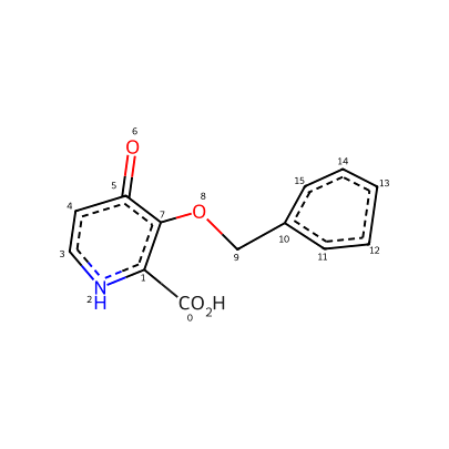 O=C(O)c1[nH]ccc(=O)c1OCc1ccccc1